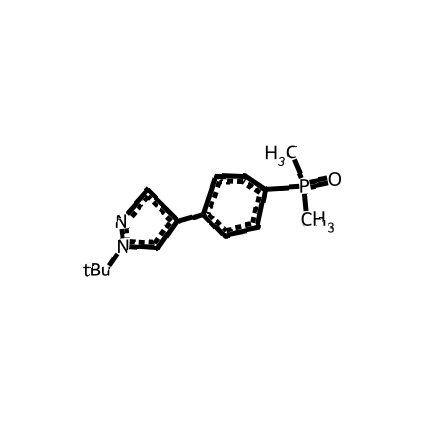 CC(C)(C)n1cc(-c2ccc(P(C)(C)=O)cc2)cn1